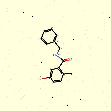 Cc1ccc(Br)cc1C(=O)NCc1ccccc1